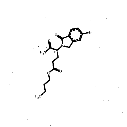 CCCCOC(=O)CC[C@@H](C(N)=O)N1Cc2cc(Br)ccc2C1=O